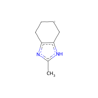 Cc1nc2c([nH]1)C[C]CC2